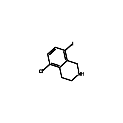 Clc1ccc(I)c2c1CCNC2